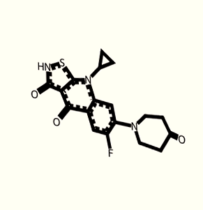 O=C1CCN(c2cc3c(cc2F)c(=O)c2c(=O)[nH]sc2n3C2CC2)CC1